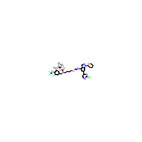 CC(C)(C)OC(=O)N(CCCCOCCNc1cc(-c2ccnc(Cl)n2)cc2c1cnn2C1CCCCO1)Cc1cc(F)c(OC(F)(F)F)c(F)c1